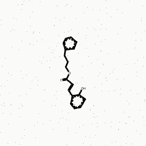 O=C(/C=C/c1ccccc1O)OCCCc1ccccc1